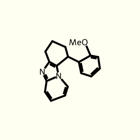 COc1ccccc1C1CCCc2nc3ccccn3c21